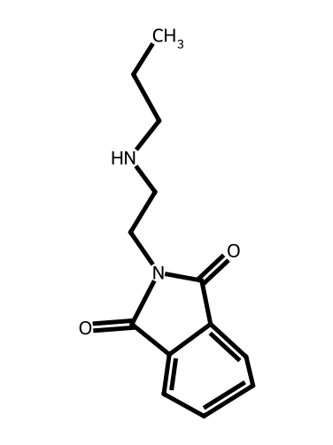 CCCNCCN1C(=O)c2ccccc2C1=O